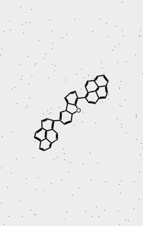 C1=CC2Oc3c(-c4ccc5ccc6cccc7ccc4c5c67)cccc3C2C=C1c1ccc2ccc3cccc4ccc1c2c34